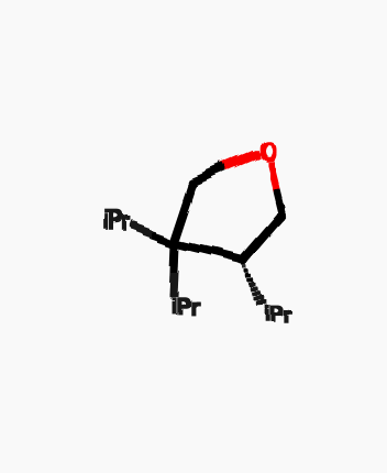 CC(C)[C@H]1COCC1(C(C)C)C(C)C